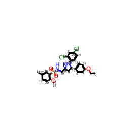 CCOc1ccc([C@@H]2CC(CNS(=O)(=O)c3cc(C)ccc3OC)=NN2c2ccc(Cl)cc2Cl)cc1